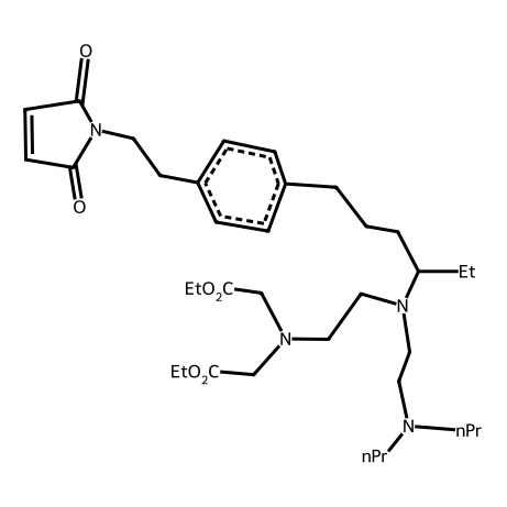 CCCN(CCC)CCN(CCN(CC(=O)OCC)CC(=O)OCC)C(CC)CCCc1ccc(CCN2C(=O)C=CC2=O)cc1